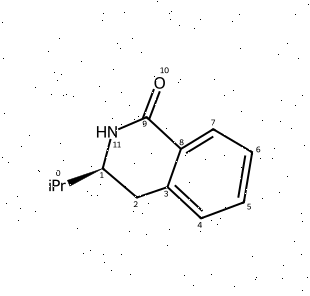 CC(C)[C@@H]1Cc2ccccc2C(=O)N1